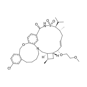 COCCO[C@H]1/C=C/C[C@@H](C)[C@H](C(C)C)S(=O)(=O)NC(=O)c2ccc3c(c2)N(CCCCc2cc(Cl)ccc2CO3)C[C@H]2[C@H]1C[C@H]2C